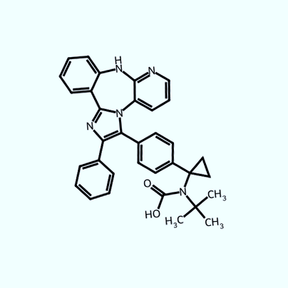 CC(C)(C)N(C(=O)O)C1(c2ccc(-c3c(-c4ccccc4)nc4n3-c3cccnc3Nc3ccccc3-4)cc2)CC1